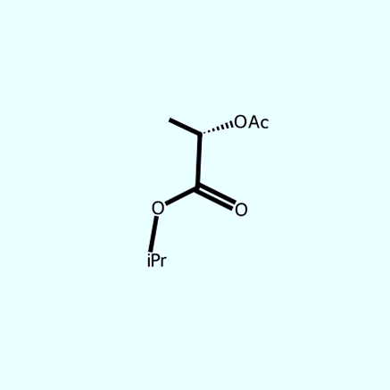 CC(=O)O[C@@H](C)C(=O)OC(C)C